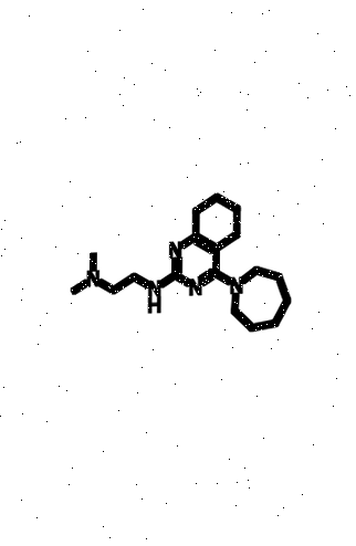 CN(C)CCNc1nc2c(c(N3CCCCCC3)n1)CCCC2